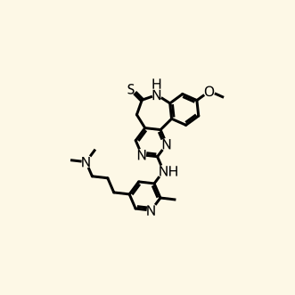 COc1ccc2c(c1)NC(=S)Cc1cnc(Nc3cc(CCCN(C)C)cnc3C)nc1-2